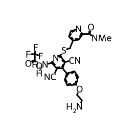 CNC(=O)c1cc(CSc2nc(N)c(C#N)c(-c3ccc(OCCN)cc3)c2C#N)ccn1.O=C(O)C(F)(F)F